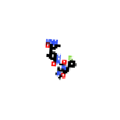 CC(=O)N(C)C(C)[C@H]1CC[C@@H](c2cccc(F)c2)N1C(=O)CNC(=O)c1ccc(Cc2cc(C)n[nH]c2=O)c(C)c1